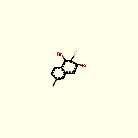 Cc1ccc2c(Br)c(Cl)c(Br)cc2c1